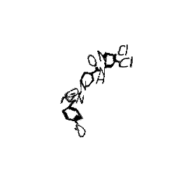 COc1ccc(-c2noc(N3CCC(C(=O)Nc4cc(Cl)c(Cl)cn4)CC3)n2)cc1